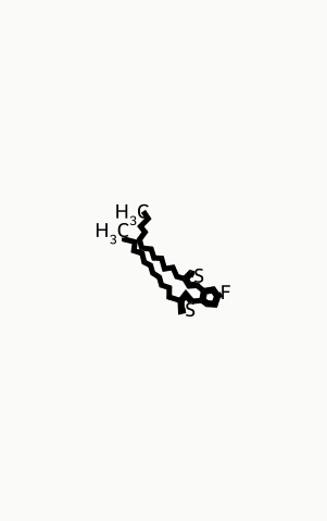 CCCCCCCCCCCCc1csc(-c2ccc(F)cc2-c2cc(CCCCCCCCCCCC)cs2)c1